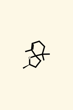 CC1=CCCC(C)(C)C12CC[C@@H](C)O2